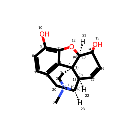 CN1CC[C@]23c4c5ccc(O)c4O[C@H]2[C](O)C=C[C@H]3[C@H]1C5